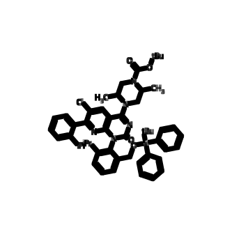 CC(C)c1ccccc1-c1nc2c(cc1Cl)c(N1CC(C)N(C(=O)OC(C)(C)C)CC1C)nc(=O)n2-c1c(CO[Si](c2ccccc2)(c2ccccc2)C(C)(C)C)cccc1C(C)C